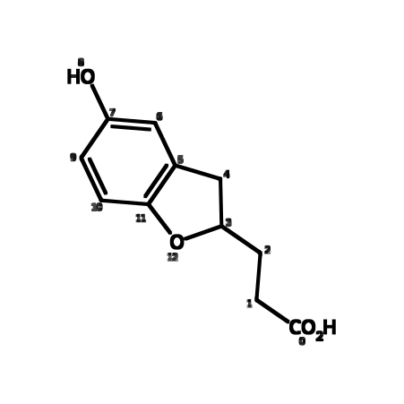 O=C(O)CCC1Cc2cc(O)ccc2O1